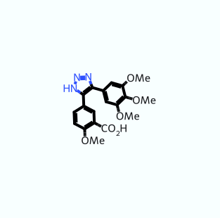 COc1ccc(-c2[nH]nnc2-c2cc(OC)c(OC)c(OC)c2)cc1C(=O)O